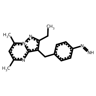 CCc1nn2c(C)cc(C)nc2c1Cc1ccc(N=N)cc1